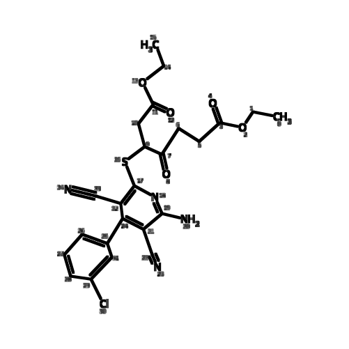 CCOC(=O)CCC(=O)C(CC(=O)OCC)Sc1nc(N)c(C#N)c(-c2cccc(Cl)c2)c1C#N